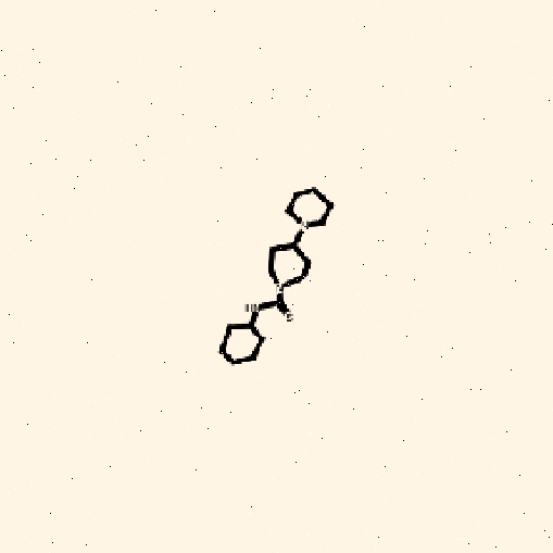 S=C(NC1CCCCC1)N1CCC(N2CCCCC2)CC1